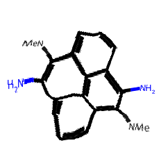 CNc1c(N)c2cccc3c(NC)c(N)c4cccc1c4c23